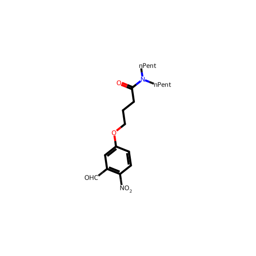 CCCCCN(CCCCC)C(=O)CCCOc1ccc([N+](=O)[O-])c(C=O)c1